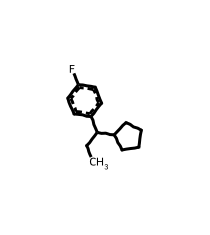 CCC(c1ccc(F)cc1)C1CCCC1